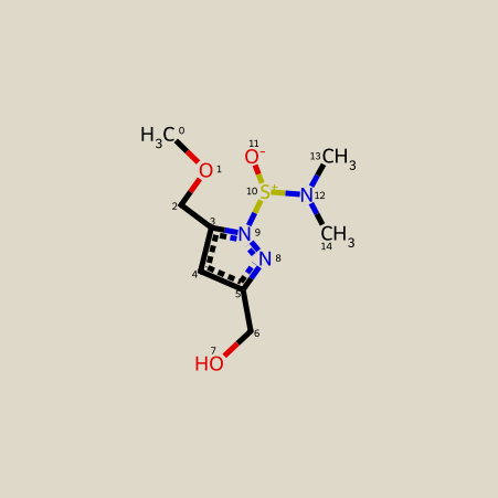 COCc1cc(CO)nn1[S+]([O-])N(C)C